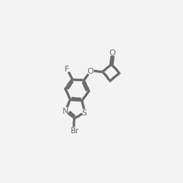 O=C1CCC1Oc1cc2sc(Br)nc2cc1F